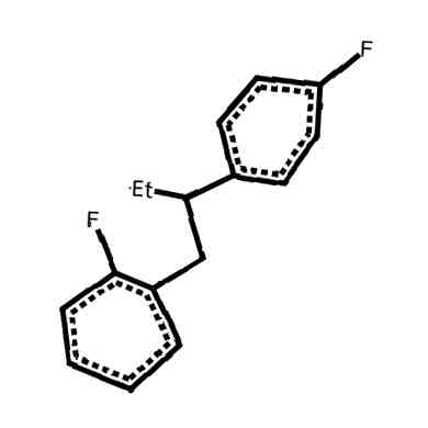 C[CH]C(Cc1ccccc1F)c1ccc(F)cc1